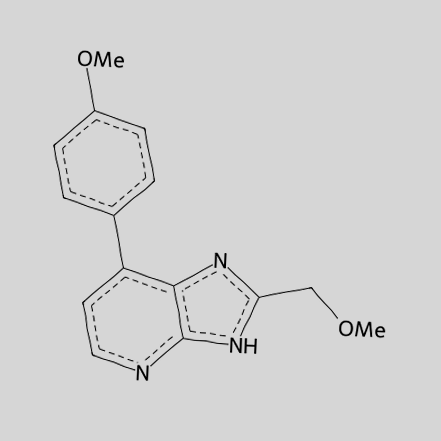 COCc1nc2c(-c3ccc(OC)cc3)ccnc2[nH]1